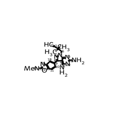 C#CC(C)(C)Cn1nc(-c2ccc3oc(NC)nc3c2)c2c(N)nc(N)nc21